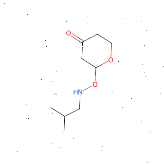 CC(C)CNOC1CC(=O)CCO1